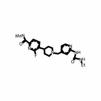 CCNC(=O)Nc1cc(CN2CCC(c3ccc(C(=O)NC)nc3F)CC2)ccn1